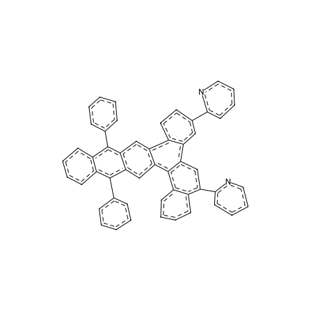 c1ccc(-c2c3ccccc3c(-c3ccccc3)c3cc4c(cc23)c2ccc(-c3ccccn3)cc2c2cc(-c3ccccn3)c3ccccc3c24)cc1